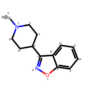 CCCCN1CCC(c2noc3ccccc23)CC1